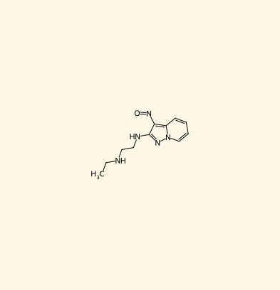 CCNCCNc1nn2ccccc2c1N=O